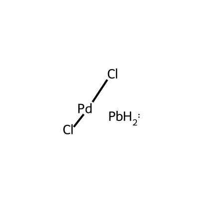 [Cl][Pd][Cl].[PbH2]